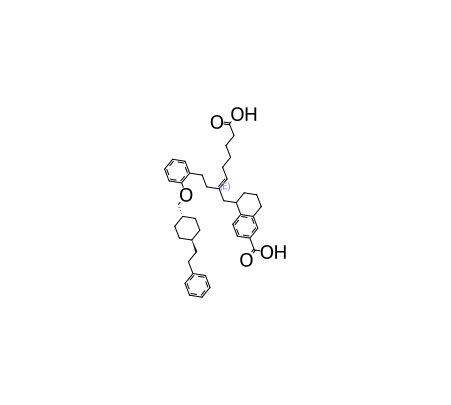 O=C(O)CCCC/C=C(\CCc1ccccc1OC[C@H]1CC[C@H](CCc2ccccc2)CC1)CC1CCCc2cc(C(=O)O)ccc21